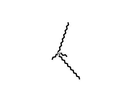 CCCCCCCCCCCCCCC[N+](CCCC)(CCCC)CCCCCCCCCCCCCCC